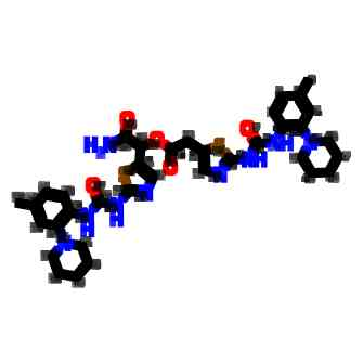 Cc1ccc(NC(=O)Nc2ncc(CC(=O)OC(C(N)=O)c3cnc(NC(=O)Nc4ccc(C)cc4N4CCCCC4)s3)s2)c(N2CCCCC2)c1